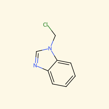 ClCn1cnc2ccccc21